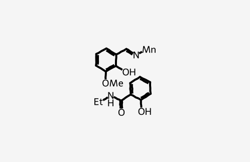 CCNC(=O)c1ccccc1O.COc1cccc(C=[N][Mn])c1O